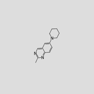 Cc1ncc2cc(N3CCCCC3)ccc2n1